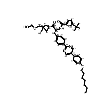 CCCCCCCOc1ccc(-c2cnc(-c3ccc(C[C@H](NC(=O)c4ccc(C(C)(C)C)s4)C(=O)N4CC(F)(COCO)C4)cc3)nc2)cc1